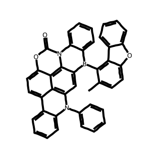 Cc1ccc2oc3ccccc3c2c1B1c2ccccc2N2C(=O)Oc3ccc4c5c(cc1c2c35)N(c1ccccc1)c1ccccc1-4